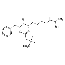 CC(C)(CC(=O)N[C@H](Cc1ccccc1)C(=O)NCCCCNC(=N)N)C(=O)O